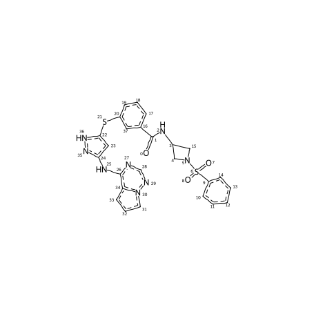 O=C(NC1CN(S(=O)(=O)c2ccccc2)C1)c1cccc(Sc2cc(Nc3ncnn4cccc34)n[nH]2)c1